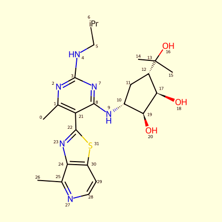 Cc1nc(NCC(C)C)nc(N[C@@H]2C[C@H](C(C)(C)O)[C@@H](O)[C@H]2O)c1-c1nc2c(C)nccc2s1